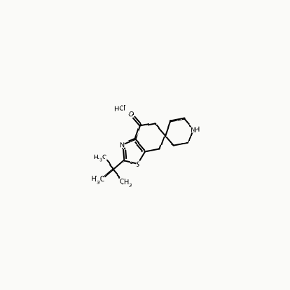 CC(C)(C)c1nc2c(s1)CC1(CCNCC1)CC2=O.Cl